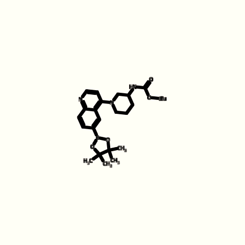 CC(C)(C)OC(=O)NC1CCCN(c2ccnc3ccc(B4OC(C)(C)C(C)(C)O4)cc23)C1